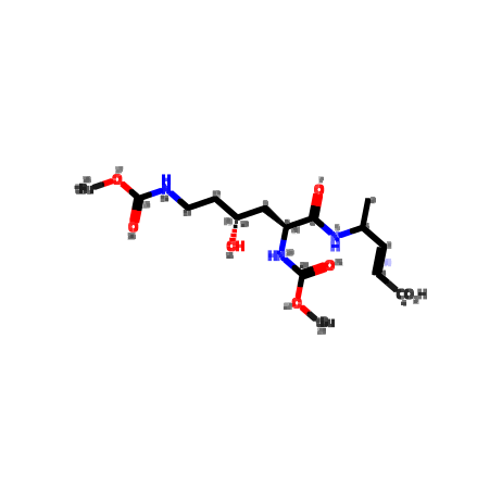 CC(/C=C/C(=O)O)NC(=O)[C@H](C[C@H](O)CCNC(=O)OC(C)(C)C)NC(=O)OC(C)(C)C